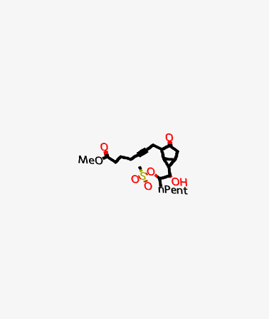 CCCCCC(OS(C)(=O)=O)C(O)C1C2CC(=O)C(CC#CCCCC(=O)OC)C21